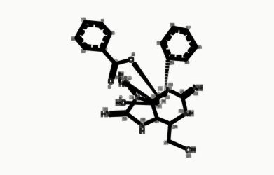 C[C@]1(O)[C@@H](OC(=O)c2ccccc2)[C@@H](c2ccccc2)N2C(=N)NC(CO)C3NC(=N)N(O)C321